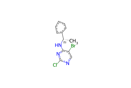 C[C@H](Nc1nc(Cl)ncc1Br)c1ccccc1